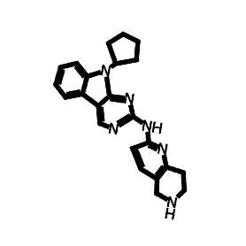 c1ccc2c(c1)c1cnc(Nc3ccc4c(n3)CCNC4)nc1n2C1CCCC1